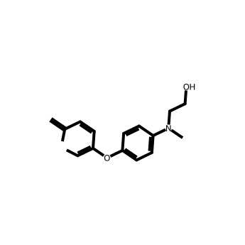 C=C(C)/C=C\C(=C/C)Oc1ccc(N(C)CCO)cc1